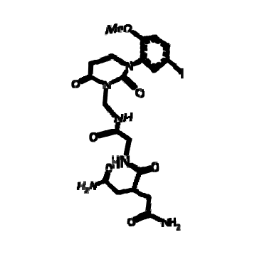 COc1ccc(I)cc1N1CCC(=O)N(CNC(=O)CNC(=O)C(CC(N)=O)CC(N)=O)C1=O